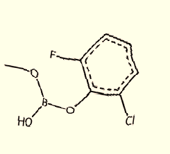 COB(O)Oc1c(F)cccc1Cl